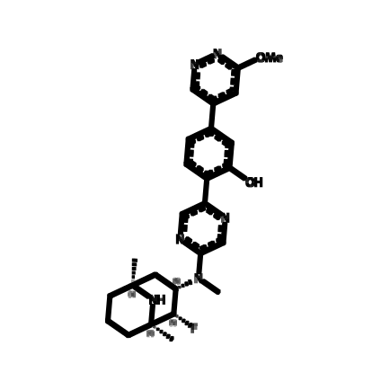 COc1cc(-c2ccc(-c3cnc(N(C)[C@H]4C[C@]5(C)CCC[C@@](C)(N5)[C@H]4F)cn3)c(O)c2)cnn1